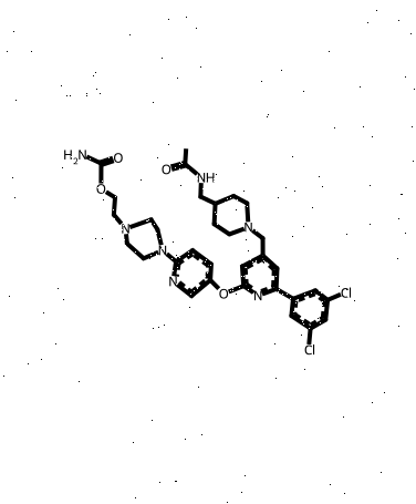 CC(=O)NCC1CCN(Cc2cc(Oc3ccc(N4CCN(CCOC(N)=O)CC4)nc3)nc(-c3cc(Cl)cc(Cl)c3)c2)CC1